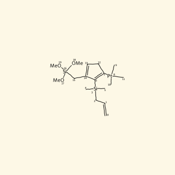 C=CC[Si](C)(C)C1=[C]([Pt]([CH3])([CH3])[CH3])CC=C1C[Si](OC)(OC)OC